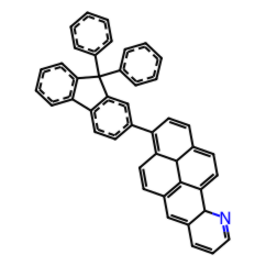 C1=CC2=CC3=C4C(=CC=C5C=CC(c6ccc7c(c6)C(c6ccccc6)(c6ccccc6)c6ccccc6-7)=C(C=C3)C54)C2N=C1